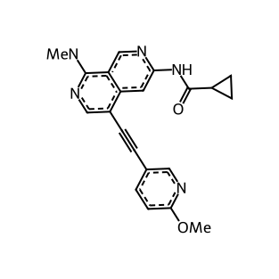 CNc1ncc(C#Cc2ccc(OC)nc2)c2cc(NC(=O)C3CC3)ncc12